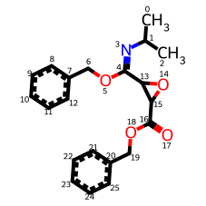 CC(C)N=C(OCc1ccccc1)C1OC1C(=O)OCc1ccccc1